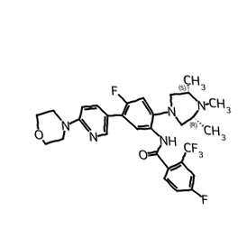 C[C@@H]1CN(c2cc(F)c(-c3ccc(N4CCOCC4)nc3)cc2NC(=O)c2ccc(F)cc2C(F)(F)F)C[C@H](C)N1C